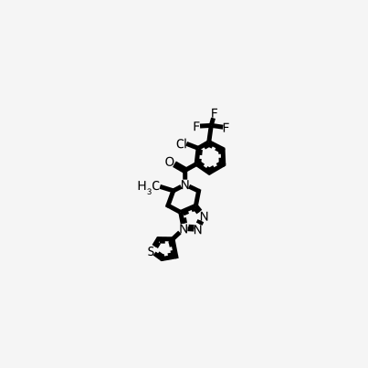 CC1Cc2c(nnn2-c2ccsc2)CN1C(=O)c1cccc(C(F)(F)F)c1Cl